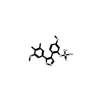 COc1ccc(-c2cnsc2-c2cc(C)c(C)c(OC)c2)c(OP(=O)(O)O)c1